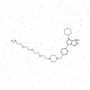 NCCOCCOCCOCCN1CCN(Cc2ccc(-c3cn(C4CCCCC4)c4[nH]ncc34)cc2)CC1